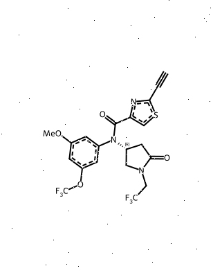 C#Cc1nc(C(=O)N(c2cc(OC)cc(OC(F)(F)F)c2)[C@@H]2CC(=O)N(CC(F)(F)F)C2)cs1